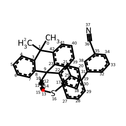 CC1(C)c2ccccc2C2(c3ccccc3Sc3ccccc32)c2c(-c3ccccc3-c3cccc(C#N)c3)cccc21